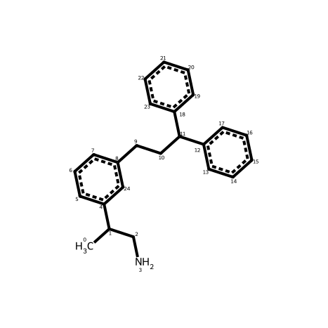 CC(CN)c1cccc(CCC(c2ccccc2)c2ccccc2)c1